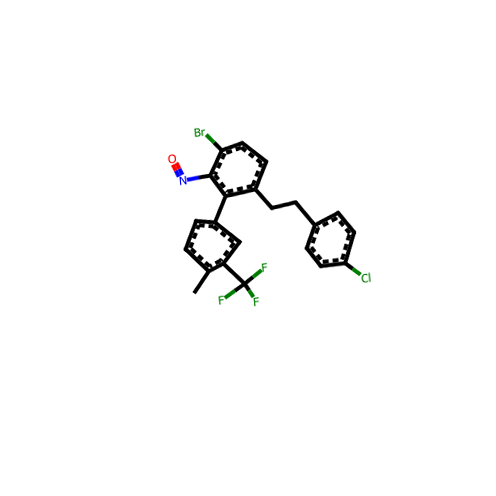 Cc1ccc(-c2c(CCc3ccc(Cl)cc3)ccc(Br)c2N=O)cc1C(F)(F)F